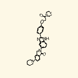 O=C(COc1ccc(-c2nc3cc(N4Cc5cc(N6CCCCC6)ccc5C4=O)ccc3[nH]2)cc1)N1CCSC1